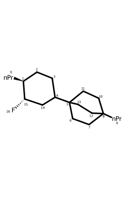 CCC[C@H]1CCC(C23CCC(CCC)(CC2)CC3)C[C@@H]1F